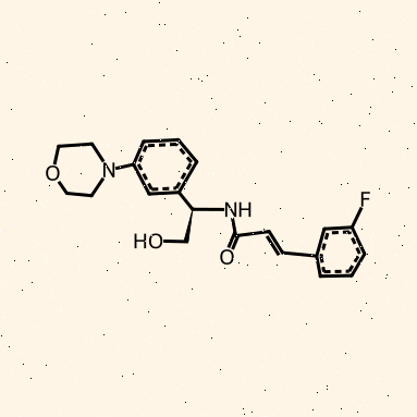 O=C(C=Cc1cccc(F)c1)N[C@@H](CO)c1cccc(N2CCOCC2)c1